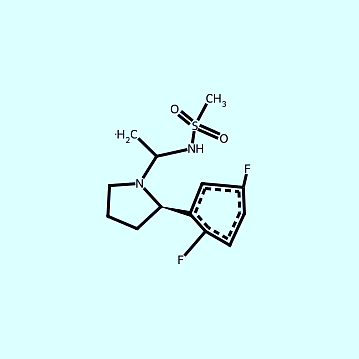 [CH2]C(NS(C)(=O)=O)N1CCC[C@@H]1c1cc(F)ccc1F